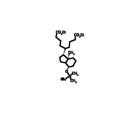 CCOC(=O)CCCC(CCCC(=O)OCC)[C@H]1CCC2[C@@H](O[Si](C)(C)C(C)(C)C)CCC[C@@]21C